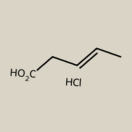 CC=CCC(=O)O.Cl